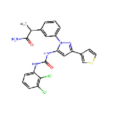 CC(C(N)=O)c1cccc(-n2nc(-c3ccsc3)cc2NC(=O)Nc2cccc(Cl)c2Cl)c1